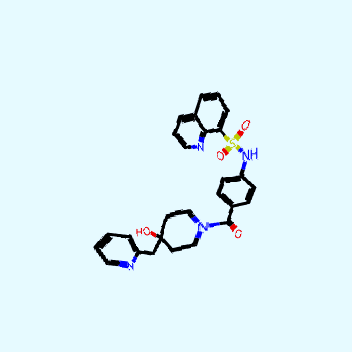 O=C(c1ccc(NS(=O)(=O)c2cccc3cccnc23)cc1)N1CCC(O)(Cc2ccccn2)CC1